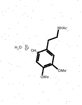 COc1ccc(CCNC(C)=O)cc1OC.O.O.O